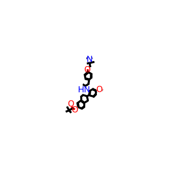 COc1ccc(C2CCc3cc(OC(=O)C(C)(C)C)ccc3C2)c(NC(C)Cc2ccc(OCC(C)(C)N(C)C)cc2)c1